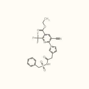 CCOC(=O)c1cc(C#N)c(-n2ccc(CC(=O)NS(=O)(=O)Cc3ccccc3)c2)nc1C(F)(F)F